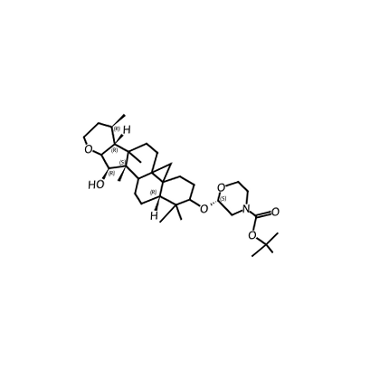 C[C@@H]1CCOC2[C@H]1C1(C)CCC34CC35CCC(O[C@H]3CN(C(=O)OC(C)(C)C)CCO3)C(C)(C)[C@@H]5CCC4[C@]1(C)[C@H]2O